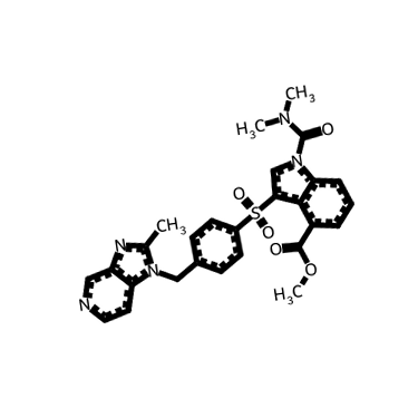 COC(=O)c1cccc2c1c(S(=O)(=O)c1ccc(Cn3c(C)nc4cnccc43)cc1)cn2C(=O)N(C)C